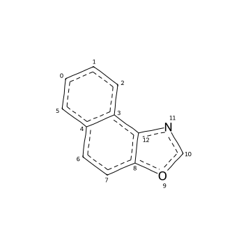 c1ccc2c(c1)ccc1ocnc12